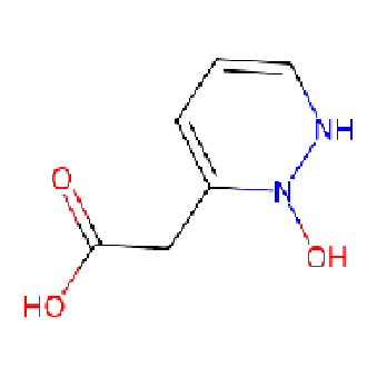 O=C(O)CC1=CC=CNN1O